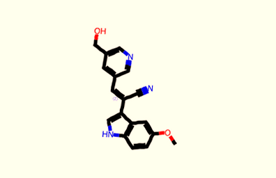 COc1ccc2[nH]cc(/C(C#N)=C/c3cncc(CO)c3)c2c1